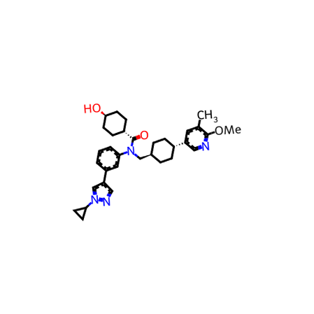 COc1ncc([C@H]2CC[C@H](CN(c3cccc(-c4cnn(C5CC5)c4)c3)C(=O)[C@H]3CC[C@H](O)CC3)CC2)cc1C